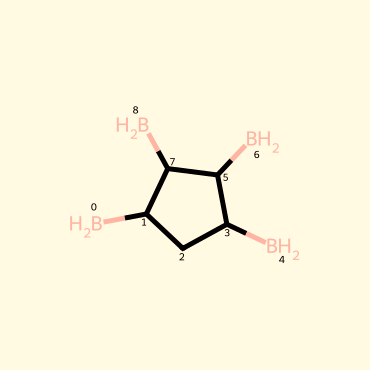 BC1CC(B)C(B)C1B